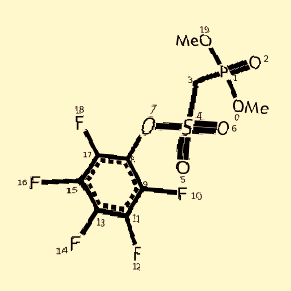 COP(=O)(CS(=O)(=O)Oc1c(F)c(F)c(F)c(F)c1F)OC